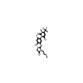 CSCCN1C(=O)CSC1=Nc1cc(-n2c(=O)cc(C(F)(F)F)n(C)c2=O)c(F)cc1Cl